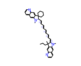 CCCC1(C)\C(=C/C=C/C=C/C=C/C=C/C2=[N+](C)c3cc4cccnc4cc3C23CCCCC3)N(C)c2cc3cccnc3cc21